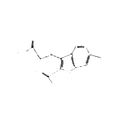 O=C(O)CCc1c(C(=O)O)[nH]c2cc(F)ccc12